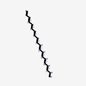 C=C/C=[C]/C=C/C=C/C=C/C=C/C=C/C=C/C=C/C=C